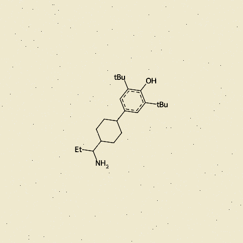 CCC(N)C1CCC(c2cc(C(C)(C)C)c(O)c(C(C)(C)C)c2)CC1